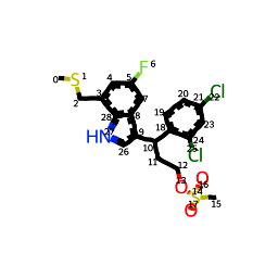 CSCc1cc(F)cc2c(C(CCOS(C)(=O)=O)c3ccc(Cl)cc3Cl)c[nH]c12